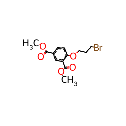 COC(=O)c1ccc(OCCCBr)c(C(=O)OC)c1